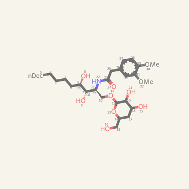 CCCCCCCCCCCCCC[C@@H](O)[C@@H](O)[C@H](COC1OC(CO)CC(O)C1O)NC(=O)Cc1ccc(OC)c(OC)c1